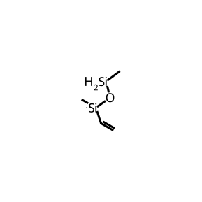 C=C[Si](C)O[SiH2]C